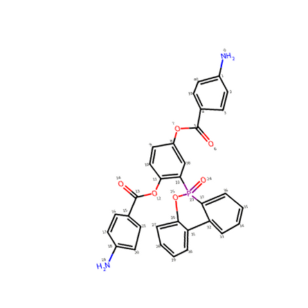 Nc1ccc(C(=O)Oc2ccc(OC(=O)c3ccc(N)cc3)c(P3(=O)Oc4ccccc4-c4ccccc43)c2)cc1